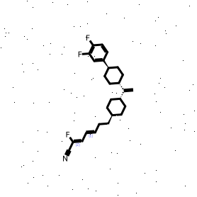 C=C([C@H]1CC[C@H](CC/C=C/C=C(\F)C#N)CC1)[C@H]1CC[C@H](c2ccc(F)c(F)c2)CC1